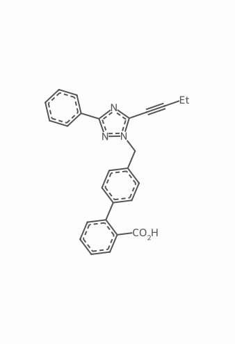 CCC#Cc1nc(-c2ccccc2)nn1Cc1ccc(-c2ccccc2C(=O)O)cc1